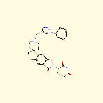 O=C1CCC(N2Cc3cc4c(cc3C2=O)OCC42CCN(Cc3cnn(-c4ccccc4)c3)CC2)C(=O)N1